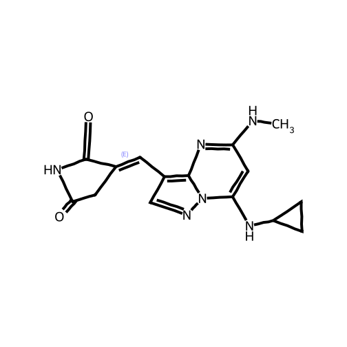 CNc1cc(NC2CC2)n2ncc(/C=C3\CC(=O)NC3=O)c2n1